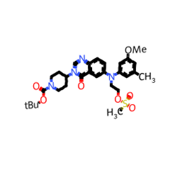 COc1cc(C)cc(N(CCOS(C)(=O)=O)c2ccc3ncn(C4CCN(C(=O)OC(C)(C)C)CC4)c(=O)c3c2)c1